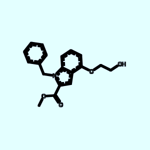 COC(=O)c1cc2c(OCCO)cccc2n1Cc1ccccc1